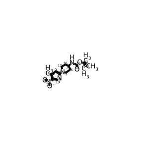 Cc1cc(N2CCC(NC(=O)OC(C)(C)C)CC2)ncc1[N+](=O)[O-]